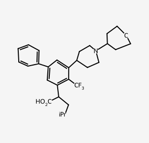 CC(C)CC(C(=O)O)c1cc(-c2ccccc2)cc(C2CCN(C3CCCCC3)CC2)c1C(F)(F)F